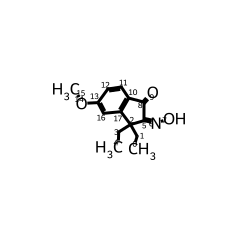 CCC1(CC)C(=NO)C(=O)c2ccc(OC)cc21